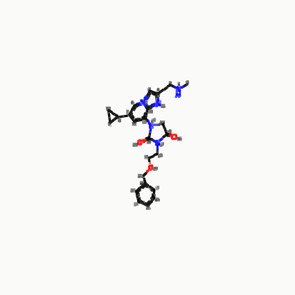 CNCc1cn2cc(C3CC3)cc(N3CC(=O)N(CCOCc4ccccc4)C3=O)c2n1